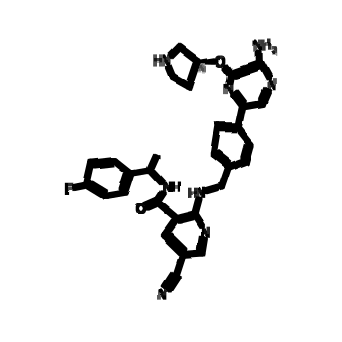 CC(NC(=O)c1cc(C#N)cnc1NCc1ccc(-c2cnc(N)c(O[C@H]3CCNC3)n2)cc1)c1ccc(F)cc1